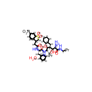 CC(C)CNC(=O)C(N)[C@@H](O)[C@H](CC1CCCCC1)C(=O)[C@H](CC(C)C)NC(=O)[C@H](Cc1ccccc1)NC(=O)CC1CS(=O)(=O)c2cc([N+](=O)[O-])ccc21.O